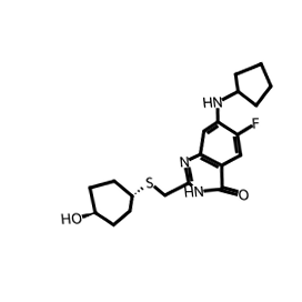 O=c1[nH]c(CS[C@H]2CC[C@H](O)CC2)nc2cc(NC3CCCC3)c(F)cc12